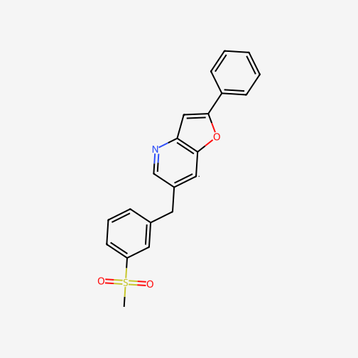 CS(=O)(=O)c1cccc(Cc2[c]c3oc(-c4ccccc4)cc3nc2)c1